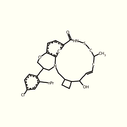 CCCc1cc(Cl)ccc1C1COc2ccc3cc2N(C1)CC1CCC1C(O)/C=C/CC(C)CSNC3=O